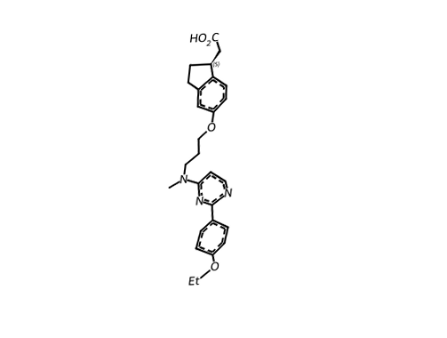 CCOc1ccc(-c2nccc(N(C)CCCOc3ccc4c(c3)CC[C@H]4CC(=O)O)n2)cc1